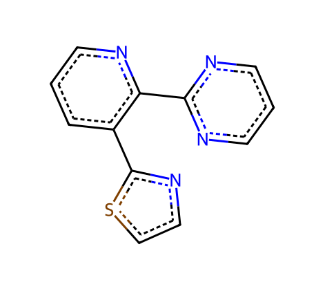 c1cnc(-c2ncccc2-c2nccs2)nc1